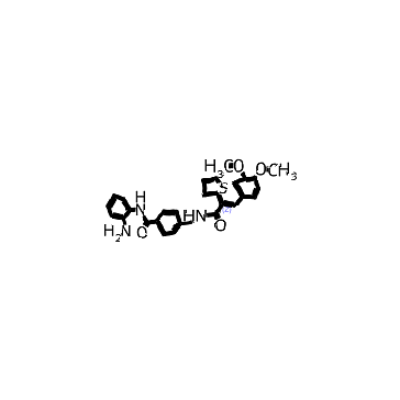 COc1ccc(/C=C(/C(=O)NCc2ccc(C(=O)Nc3ccccc3N)cc2)c2cccs2)cc1OC